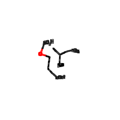 CCCCCCCCCCOS(=O)(=O)O.CCCC[CH](C)[Na]